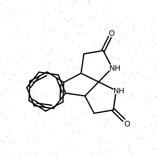 O=C1CC(c2ccccc2)C2(N1)NC(=O)CC2c1ccccc1